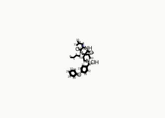 CCCCN1C(=O)/C(=C\C(C)C)NC(=O)C12CCN(Cc1ccc(Oc3ccccc3)cc1)CC2.Cl